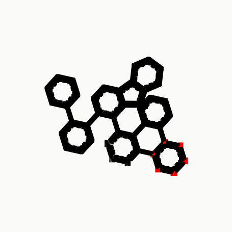 c1ccc(-c2ccccc2-c2ccc3c([nH]c4ccccc43)c2-c2nnnc(-c3ccccc3)c2-c2ccccc2-c2ccccc2)cc1